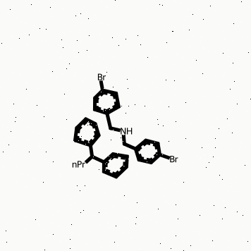 Brc1ccc(CNCc2ccc(Br)cc2)cc1.CCCC(c1ccccc1)c1ccccc1